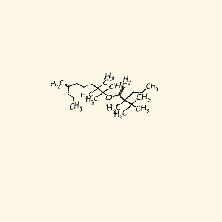 C=C(CCC)CCCC(C)(C)C(C)(C)OC(=C)C(C)(CCC)C(C)(C)C